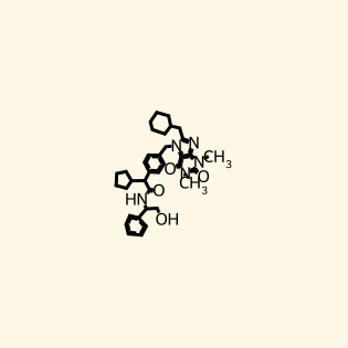 Cn1c(=O)c2c(nc(CC3CCCCC3)n2Cc2ccc(C(C(=O)NC(CO)c3ccccc3)C3CCCC3)cc2)n(C)c1=O